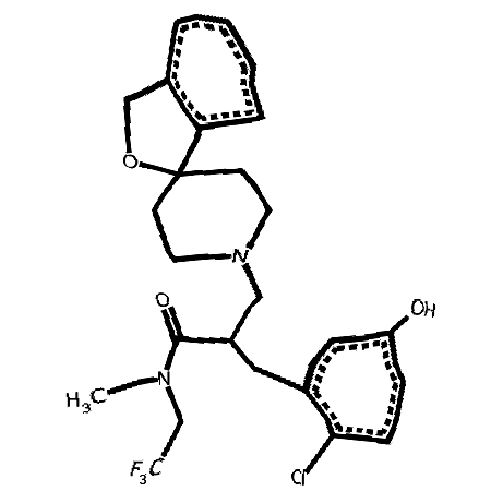 CN(CC(F)(F)F)C(=O)C(Cc1cc(O)ccc1Cl)CN1CCC2(CC1)OCc1ccccc12